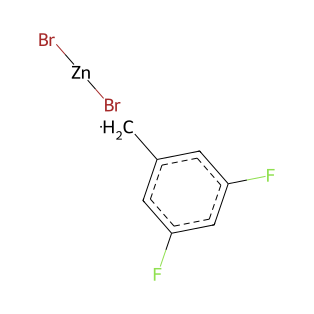 [Br][Zn][Br].[CH2]c1cc(F)cc(F)c1